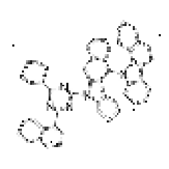 c1ccc(-c2nc(-c3cccc4ccccc34)nc(-n3c4ccccc4c4c(-n5c6ccccc6c6ccc7ccccc7c65)c5ccccc5cc43)n2)cc1